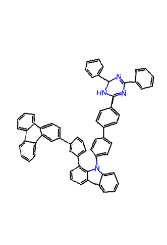 c1ccc(C2=NC(c3ccccc3)NC(c3ccc(-c4ccc(-n5c6ccccc6c6cccc(-c7cccc(-c8ccc9c%10ccccc%10c%10ccccc%10c9c8)c7)c65)cc4)cc3)=N2)cc1